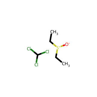 CC[S+]([O-])CC.ClC(Cl)Cl